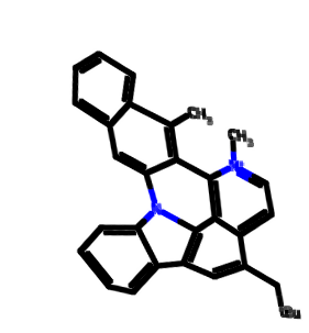 Cc1c2ccccc2cc2c1c1c3c(cc[n+]1C)c(CC(C)(C)C)cc1c4ccccc4n2c13